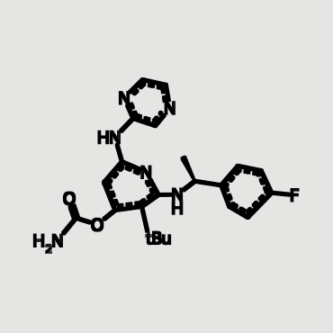 C[C@H](Nc1nc(Nc2cnccn2)cc(OC(N)=O)c1C(C)(C)C)c1ccc(F)cc1